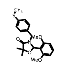 COc1cccc(OC)c1C1OC(C)(C)C(=O)N1Cc1ccc(SC(F)(F)F)cc1